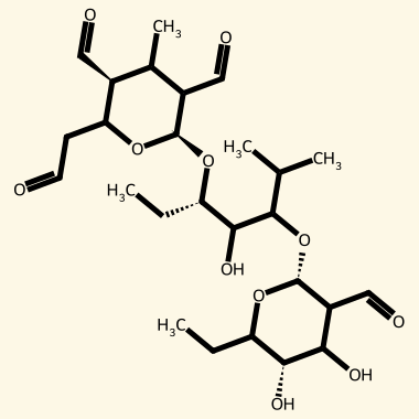 CCC1O[C@H](OC(C(C)C)C(O)[C@H](CC)O[C@H]2OC(CC=O)[C@@H](C=O)C(C)C2C=O)C(C=O)C(O)[C@@H]1O